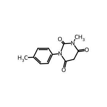 Cc1ccc(N2C(=O)CC(=O)N(C)C2=O)cc1